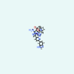 CC(=O)c1c([C@H]2C[C@H]3CC[C@@H](C2)N3C(=O)c2nnc[nH]2)nc2c(-c3ccc(-c4ccc5nc[nH]c5c4)nc3)cnn2c1N